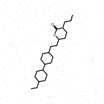 CCCC1CCC(CCC2CCC(C3CCC(CC)CC3)CC2)OC1=O